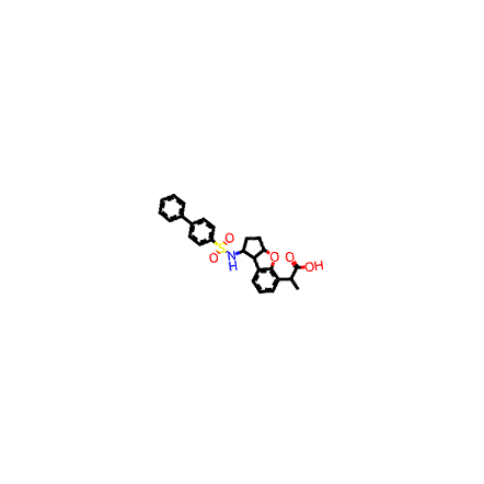 CC(C(=O)O)c1cccc2c1OC1CCC(NS(=O)(=O)c3ccc(-c4ccccc4)cc3)C21